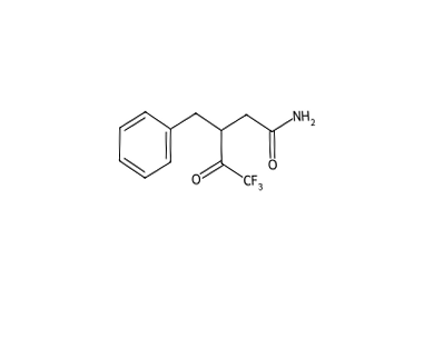 NC(=O)CC(Cc1ccccc1)C(=O)C(F)(F)F